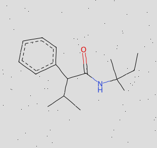 CCC(C)(C)NC(=O)C(c1ccccc1)C(C)C